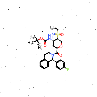 CC[S@@](=N)(=O)[C@H]1CO[C@@H](C(=O)N2CCc3ccccc3[C@@H]2c2ccc(F)cc2)C[C@@H]1NC(=O)OC(C)(C)C